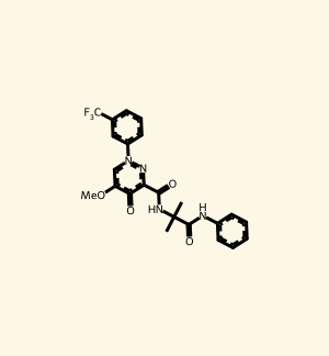 COc1cn(-c2cccc(C(F)(F)F)c2)nc(C(=O)NC(C)(C)C(=O)Nc2ccccc2)c1=O